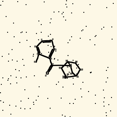 Cc1ccccc1C(=O)N1CC2CCC1CN2